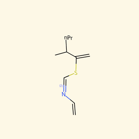 C=C/N=C\SC(=C)C(C)CCC